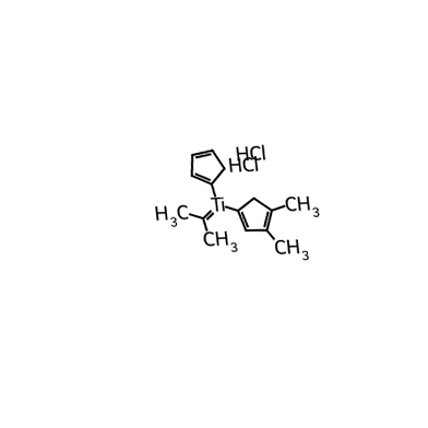 CC1=C(C)C[C]([Ti]([C]2=CC=CC2)=[C](C)C)=C1.Cl.Cl